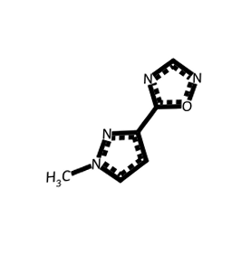 Cn1ccc(-c2ncno2)n1